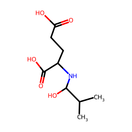 CC(C)C(O)NC(CCC(=O)O)C(=O)O